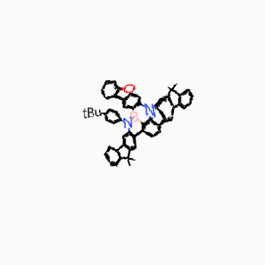 CC(C)(C)c1ccc(N2B3c4cc5c(cc4-n4c6cc7c(cc6c6ccc(c3c64)-c3cc4c(cc32)-c2ccccc2C4(C)C)-c2ccccc2C7(C)C)oc2ccccc25)cc1